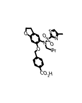 Cc1csc(S(=O)(=O)N(CC(C)C)c2cc3c(cc2OCc2ccc(C(=O)O)cc2)OCC3)n1